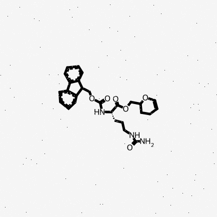 NC(=O)NCCC[C@H](NC(=O)OCC1c2ccccc2-c2ccccc21)C(=O)OCC1CCC=CO1